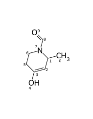 CC1C=C(O)CCN1C=O